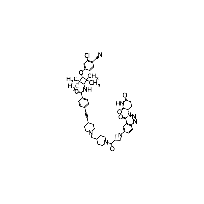 CC1(C)C(NC(=O)c2ccc(C#CC3CCN(CC4CCN(C(=O)C5CN(c6ccc7nnn(C8CCC(=O)NC8=O)c(=O)c7c6)C5)CC4)CC3)cc2)C(C)(C)C1Oc1ccc(C#N)c(Cl)c1